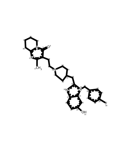 Cc1nc2n(c(=O)c1CCN1CCC(Cc3nc4ccc(O)cc4n3Cc3ccc(F)cc3)CC1)CCCC2